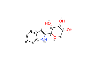 O[C@@H]1[C@H](O)COC(c2cc3ccccc3[nH]2)[C@@H]1O